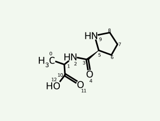 CC(NC(=O)[C@@H]1CCCN1)C(=O)O